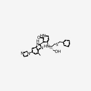 Cc1cc(-n2ccnc2)cc2[nH]c(-c3c(N[C@@H](CO)CSCc4ccccc4)cc[nH]c3=O)nc12